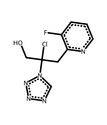 OCC(Cl)(Cc1ncc[c]c1F)n1cnnn1